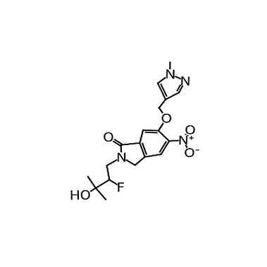 Cn1cc(COc2cc3c(cc2[N+](=O)[O-])CN(CC(F)C(C)(C)O)C3=O)cn1